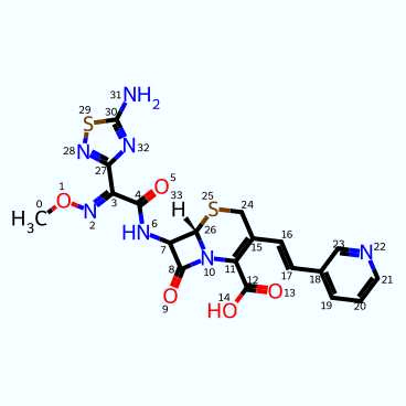 CON=C(C(=O)NC1C(=O)N2C(C(=O)O)=C(C=Cc3cccnc3)CS[C@@H]12)c1nsc(N)n1